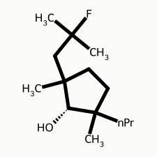 CCCC1(C)CCC(C)(CC(C)(C)F)[C@H]1O